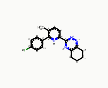 Cc1ccc(-c2nnc3c(n2)CCCC3)nc1-c1ccc(F)cc1